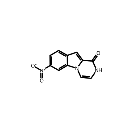 O=c1[nH]ccn2c1cc1ccc([N+](=O)[O-])cc12